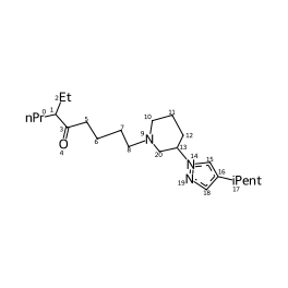 CCCC(CC)C(=O)CCCCN1CCCC(n2cc(C(C)CCC)cn2)C1